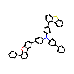 c1ccc(-c2ccc(N(c3ccc(-c4ccc5oc6c(-c7ccccc7)cccc6c5c4)cc3)c3ccc(-c4cccc5sc6ccccc6c45)cc3)cc2)cc1